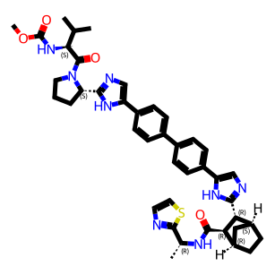 COC(=O)N[C@H](C(=O)N1CCC[C@H]1c1ncc(-c2ccc(-c3ccc(-c4cnc([C@@H]5[C@H]6CC[C@H](C6)[C@H]5C(=O)N[C@H](C)c5nccs5)[nH]4)cc3)cc2)[nH]1)C(C)C